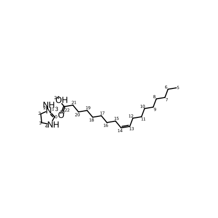 C1=NCCN1.CCCCCCCC/C=C\CCCCCCCC(=O)O.N